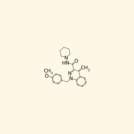 C=C1C(C(=O)NN2CCCCC2)=NN(Cc2ccc(OC)cc2)c2ccccc21